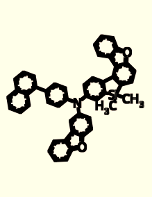 C[Si]1(C)c2cc(N(c3ccc(-c4cccc5ccccc45)cc3)c3ccc4oc5ccccc5c4c3)ccc2-c2c1ccc1oc3ccccc3c21